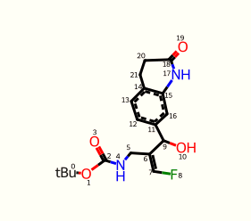 CC(C)(C)OC(=O)NC/C(=C/F)C(O)c1ccc2c(c1)NC(=O)CC2